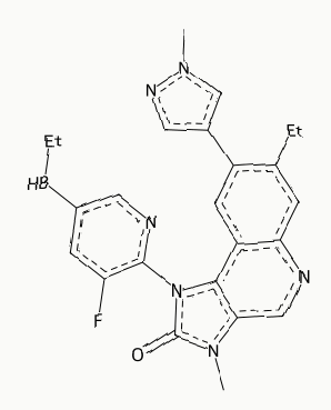 CCBc1cnc(-n2c(=O)n(C)c3cnc4cc(CC)c(-c5cnn(C)c5)cc4c32)c(F)c1